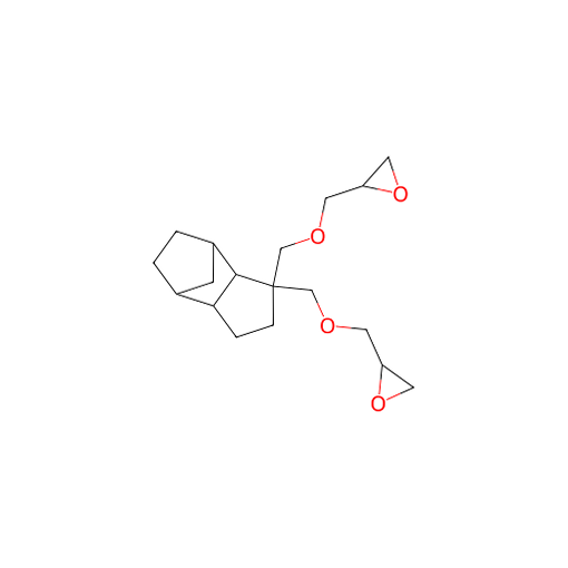 C(OCC1(COCC2CO2)CCC2C3CCC(C3)C21)C1CO1